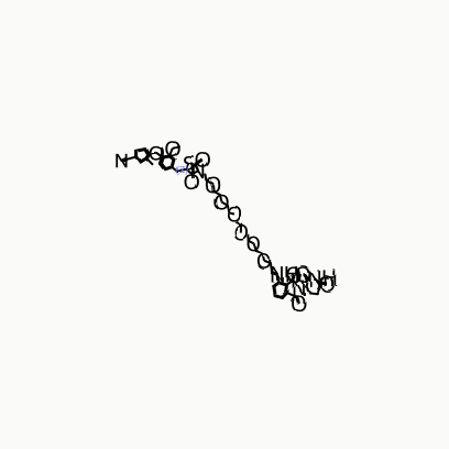 COc1cc(/C=C2\SC(=O)N(CCOCCOCCOCCOCCOCCOCCNc3cccc4c3C(=O)N(C3CCC(=O)NC3=O)C4=O)C2=O)ccc1Oc1ccc(C#N)cc1C